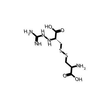 N=C(N)NN[C@@H](CSSCC(N)C(=O)O)C(=O)O